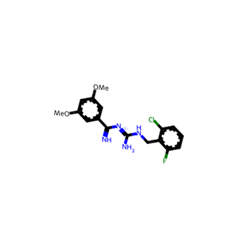 COc1cc(OC)cc(C(=N)/N=C(\N)NCc2c(F)cccc2Cl)c1